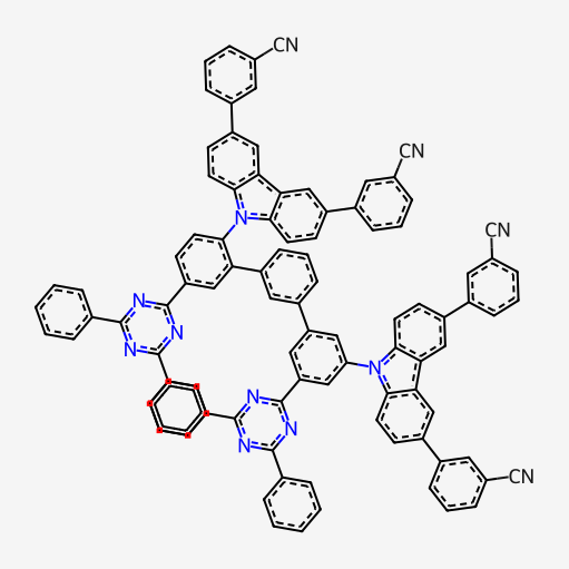 N#Cc1cccc(-c2ccc3c(c2)c2cc(-c4cccc(C#N)c4)ccc2n3-c2cc(-c3cccc(-c4cc(-c5nc(-c6ccccc6)nc(-c6ccccc6)n5)ccc4-n4c5ccc(-c6cccc(C#N)c6)cc5c5cc(-c6cccc(C#N)c6)ccc54)c3)cc(-c3nc(-c4ccccc4)nc(-c4ccccc4)n3)c2)c1